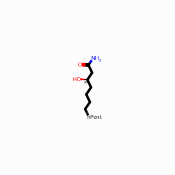 CCCCCCCCC[C@@H](O)CC(N)=O